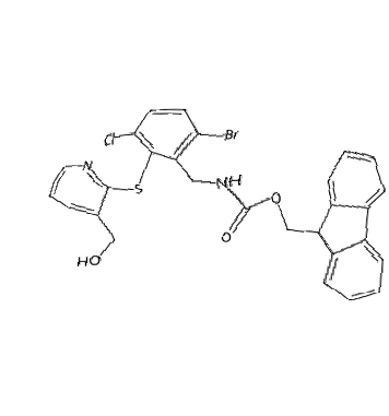 O=C(NCc1c(Br)ccc(Cl)c1Sc1ncccc1CO)OCC1c2ccccc2-c2ccccc21